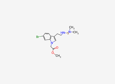 COC(=O)Cn1cc(CCNSN(C)C)c2ccc(Br)cc21